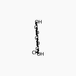 OCCOCCOCCOCCOCCOCC(O)Cl